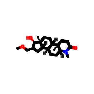 COC[C@@H]1C[C@H]2[C@@H]3CC[C@H]4N(C)C(=O)C=C[C@]4(C)[C@H]3CC[C@]2(C)[C@H]1O